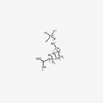 CC#N.CC#N.CC#N.CC#N.OB(O)O.[F][Pd]([F])([F])[F]